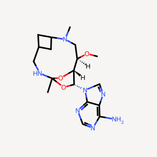 CO[C@@H]1CN(C)C2CC(CNC3(C)O[C@H]1[C@H](n1cnc4c(N)ncnc41)O3)C2